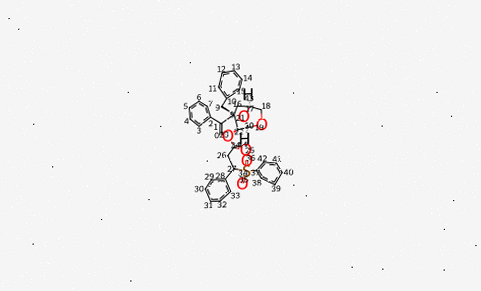 C=C(c1ccccc1)[C@]1(Cc2ccccc2)C[C@H]2CO[C@H](O2)[C@H]1OC(=O)CC(c1ccccc1)S(=O)(=O)c1ccccc1